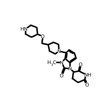 Cn1c(=O)n(C2CCC(=O)NC2=O)c2cccc(N3CCC(COC4CCNCC4)CC3)c21